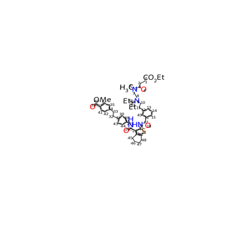 CCOC(=O)CCC(=O)N(C)CCN(CCc1cccc(C(=O)Nc2sc3c(c2C(=O)Nc2ccc(CCc4ccc(C(=O)OC)cc4)cc2)CCCC3)c1)C(CC)CC